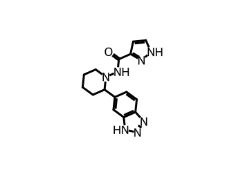 O=C(NN1CCCCC1c1ccc2nn[nH]c2c1)c1cc[nH]n1